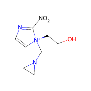 O=[N+]([O-])C1=NC=C[N@@+]1(CCO)CN1CC1